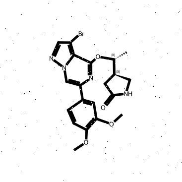 COc1ccc(-c2cn3ncc(Br)c3c(O[C@H](C)[C@H]3CNC(=O)C3)n2)cc1OC